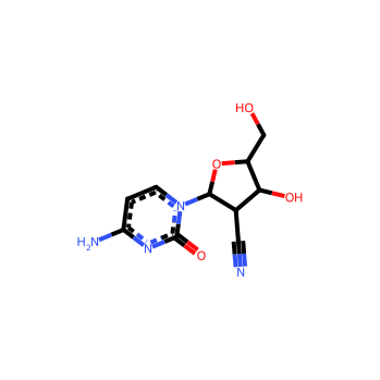 N#CC1C(O)C(CO)OC1n1ccc(N)nc1=O